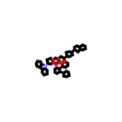 c1ccc(-c2ccccc2-c2c(-c3ccccc3)cccc2N(c2ccc(-c3ccc(-c4ccc5ccccc5c4)cc3)cc2)c2cccc(-n3c4ccccc4c4ccccc43)c2)cc1